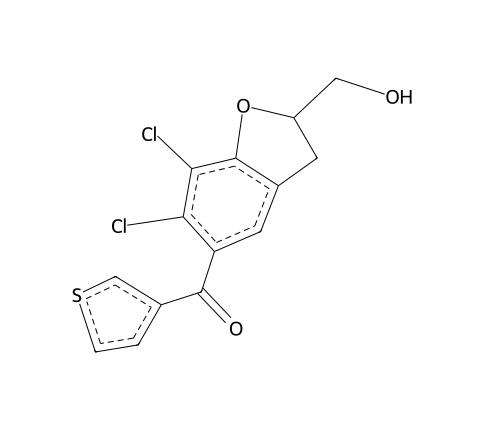 O=C(c1ccsc1)c1cc2c(c(Cl)c1Cl)OC(CO)C2